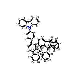 C1=C(c2ccc(-n3c4ccccc4c4ccccc43)cc2)C=C(C2(c3ccccc3)c3ccccc3C3(c4ccccc4)c4ccccc4-c4cccc2c43)CC1